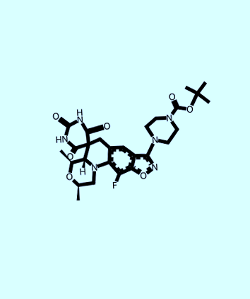 C[C@@H]1CN2c3c(cc4c(N5CCN(C(=O)OC(C)(C)C)CC5)noc4c3F)CC3(C(=O)NC(=O)NC3=O)[C@H]2[C@H](C)O1